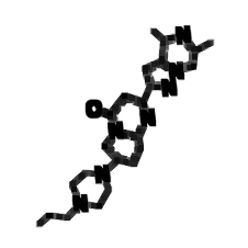 CCCN1CCN(c2ccc3nc(-c4cc5c(C)nc(C)cn5n4)cc(=O)n3c2)CC1